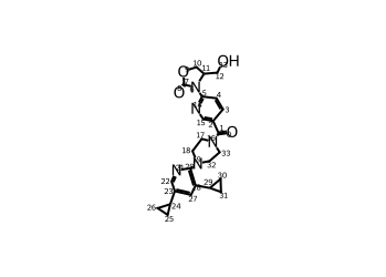 O=C(c1ccc(N2C(=O)OCC2CO)nc1)N1CCN(c2ncc(C3CC3)cc2C2CC2)CC1